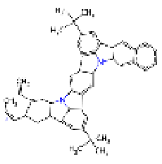 C=CC1=CC2C(CC1/C=C\C)C1=CC(C(C)(C)C)=CC3C4=CC5C(C=C4N2C13)c1cc(C(C)(C)C)cc2c1N5C1C=c3ccccc3=CC21